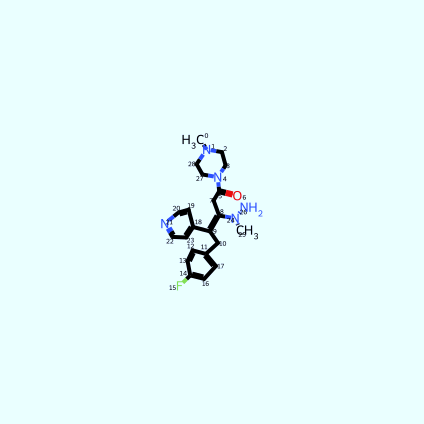 CN1CCN(C(=O)C/C(=C(/Cc2ccc(F)cc2)c2ccncc2)N(C)N)CC1